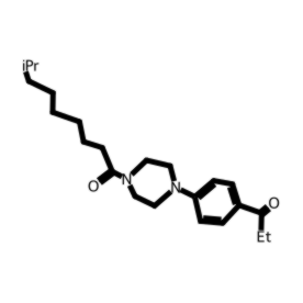 CCC(=O)c1ccc(N2CCN(C(=O)CCCCCCC(C)C)CC2)cc1